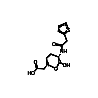 O=C(O)CN1CC[C@H](NC(=O)Cc2cccs2)B(O)O1